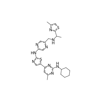 Cc1cc(-c2cnc(Nc3cnc(CNC(C)c4nc(C)cs4)cn3)s2)nc(NC2CCCCC2)n1